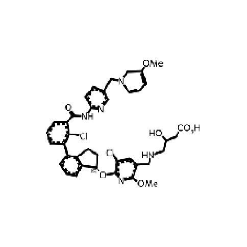 COC1=CC=CN(Cc2ccc(NC(=O)c3cccc(-c4cccc5c4CC[C@@H]5Oc4nc(OC)c(CNCC(O)CC(=O)O)cc4Cl)c3Cl)nc2)C1